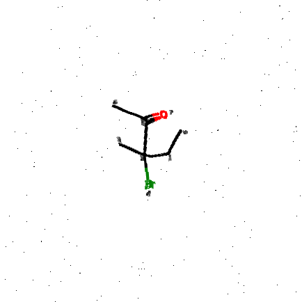 CCC(C)(Br)C(C)=O